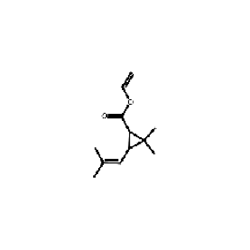 C=COC(=O)C1C(C=C(C)C)C1(C)C